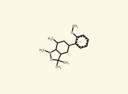 COc1ccccc1C1CC(C)C2C(C1)C(C)(C)ON2C